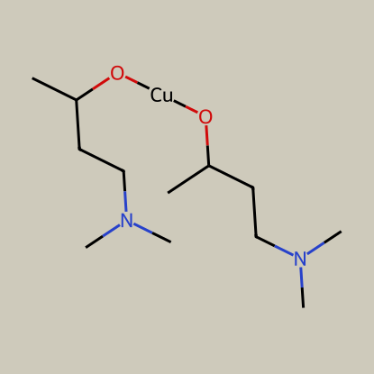 CC(CCN(C)C)[O][Cu][O]C(C)CCN(C)C